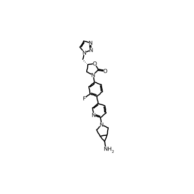 NC1C2CN(c3ccc(-c4ccc(N5C[C@H](Cn6ccnn6)OC5=O)cc4F)cn3)CC12